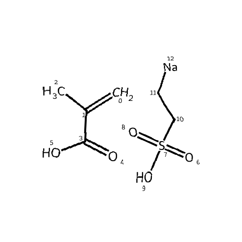 C=C(C)C(=O)O.O=S(=O)(O)C[CH2][Na]